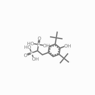 CC(C)(C)c1cc(CC(P(=O)(O)O)P(=O)(O)O)cc(C(C)(C)C)c1O